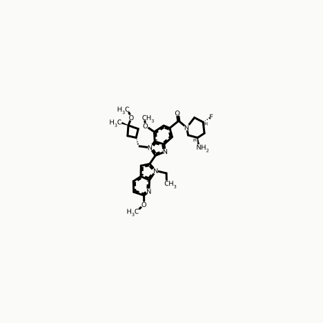 CCn1c(-c2nc3cc(C(=O)N4C[C@H](N)C[C@@H](F)C4)cc(OC)c3n2C[C@H]2C[C@@](C)(OC)C2)cc2ccc(OC)nc21